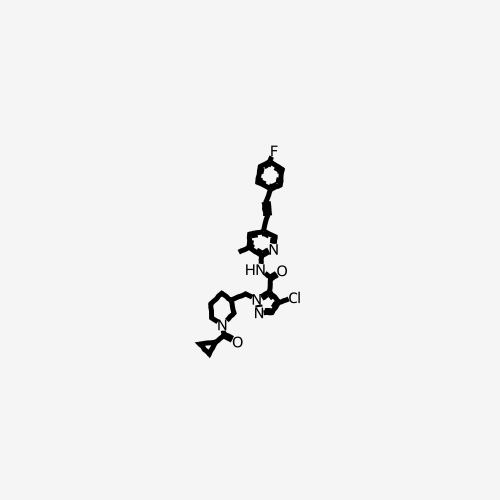 Cc1cc(C#Cc2ccc(F)cc2)cnc1NC(=O)c1c(Cl)cnn1CC1CCCN(C(=O)C2CC2)C1